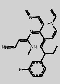 C=CN\C=C/C(=C\C(CC)c1cccc(F)c1)C(/C=C\N=C)=N\C(=C\C=N)NC